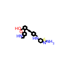 Nc1nc2c(s1)C[C@H](NCc1ccc(C#Cc3cccc(C(=O)O)c3-c3ccc4cc[nH]c4c3)cc1)CC2